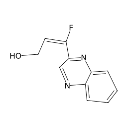 OC/C=C(/F)c1cnc2ccccc2n1